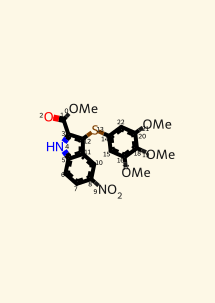 COC(=O)c1[nH]c2ccc([N+](=O)[O-])cc2c1Sc1cc(OC)c(OC)c(OC)c1